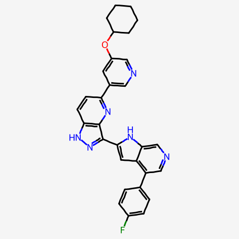 Fc1ccc(-c2cncc3[nH]c(-c4n[nH]c5ccc(-c6cncc(OC7CCCCC7)c6)nc45)cc23)cc1